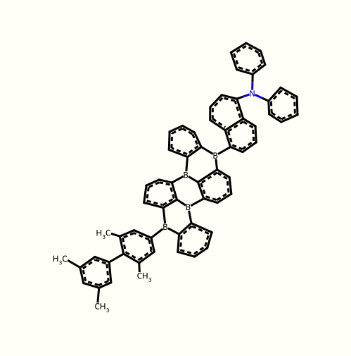 Cc1cc(C)cc(-c2c(C)cc(B3c4ccccc4B4c5cccc6c5B(c5ccccc5B6c5cccc6c(N(c7ccccc7)c7ccccc7)cccc56)c5cccc3c54)cc2C)c1